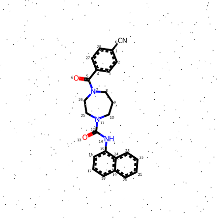 N#Cc1ccc(C(=O)N2CCCN(C(=O)Nc3cccc4ccccc34)CC2)cc1